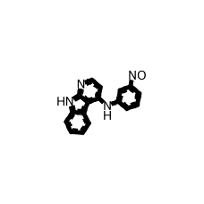 O=Nc1cccc(Nc2ccnc3[nH]c4ccccc4c23)c1